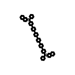 c1ccc(N(c2ccc(-c3ccc(-c4ccc(-c5ccc(-c6ccc(-c7ccc(N(c8ccccc8)c8ccc9ccccc9c8)cc7)cc6)cc5)cc4)cc3)cc2)c2ccc3ccccc3c2)cc1